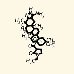 C=CN1CCC(C(=O)[C@]23CCC(C)(C)CC2C2=CCC4[C@@]5(C)Cc6c(n[nH]c6N)C(C)(C)C5CC[C@@]4(C)[C@]2(C)CC3)C1=O